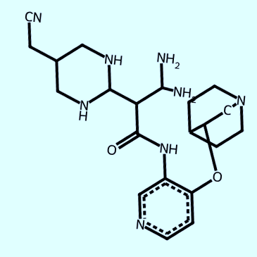 N#CCC1CNC(C(C(=O)Nc2cnccc2OC2CN3CCC2CC3)C(N)N)NC1